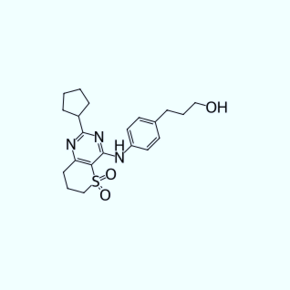 O=S1(=O)CCCc2nc(C3CCCC3)nc(Nc3ccc(CCCO)cc3)c21